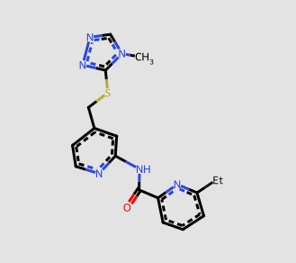 CCc1cccc(C(=O)Nc2cc(CSc3nncn3C)ccn2)n1